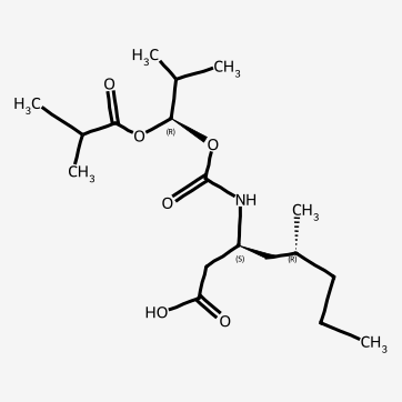 CCC[C@@H](C)C[C@@H](CC(=O)O)NC(=O)O[C@@H](OC(=O)C(C)C)C(C)C